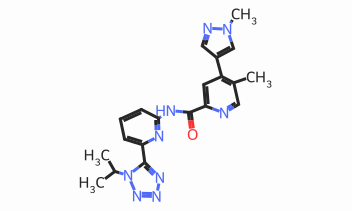 Cc1cnc(C(=O)Nc2cccc(-c3nnnn3C(C)C)n2)cc1-c1cnn(C)c1